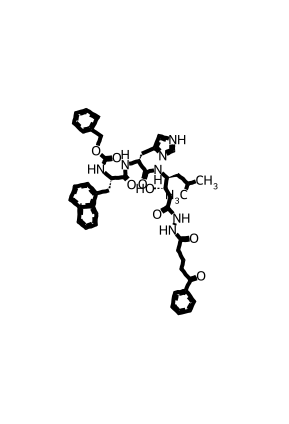 CC(C)C[C@H](NC(=O)[C@@H](Cc1c[nH]cn1)NC(=O)[C@H](Cc1cccc2ccccc12)NC(=O)OCc1ccccc1)[C@@H](O)CC(=O)NNC(=O)CCCC(=O)c1ccccc1